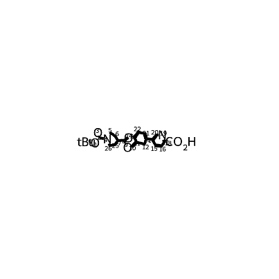 CC(C)(C)OC(=O)N1CCC(C2OC=C3CC(c4ccc(C(=O)O)nc4)=CC=C3O2)CC1